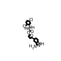 Nc1n[nH]c2ccc(-c3ccc(OC(=O)NNc4cc(Cl)ccc4Cl)o3)cc12